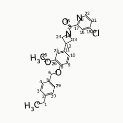 CCc1ccc(COc2ccc(C3CN(C(=O)c4cc(Cl)ccn4)C3)cc2OC)cc1